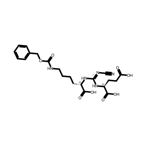 N#C/N=C(/N[C@@H](CCCCNC(=O)OCc1ccccc1)C(=O)O)N[C@@H](CCC(=O)O)C(=O)O